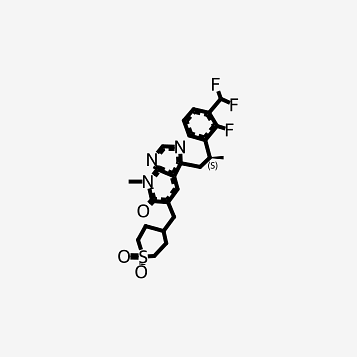 C[C@@H](Cc1ncnc2c1cc(CC1CCS(=O)(=O)CC1)c(=O)n2C)c1cccc(C(F)F)c1F